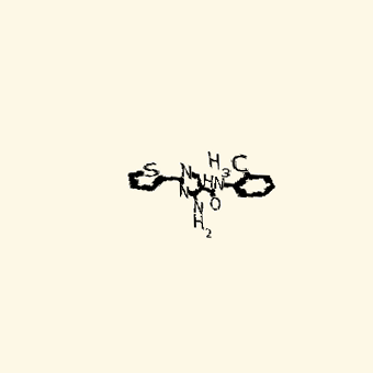 Cc1ccccc1NC(=O)c1cnc(-c2cccs2)nc1N